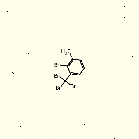 Cc1cccc(C(Br)(Br)Br)c1Br